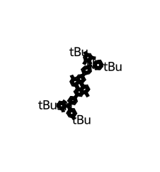 Cc1cc(C(C)(C)C)cc(C)c1N(c1ccc(-c2cc3c(C)ccc4c5cc(-c6ccc(N(c7ccc(C(C)(C)C)cc7)c7c(C)cc(C(C)(C)C)cc7C)cc6)cc6c(C)ccc(c(c2)c34)c65)cc1)c1ccc(C(C)(C)C)cc1